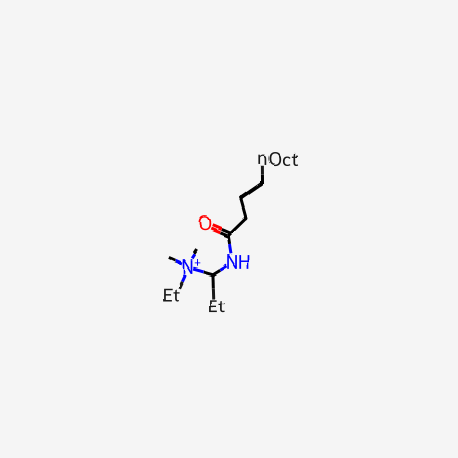 CCCCCCCCCCCC(=O)NC(CC)[N+](C)(C)CC